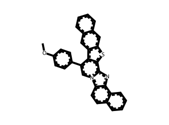 COc1ccc(-c2cn3c4ccc5ccccc5c4nc3c3sc4cc5ccccc5cc4c23)cc1